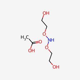 CC(=O)O.OCCONOCCO